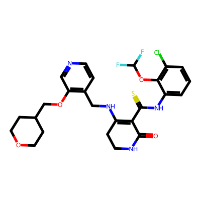 O=C1NCCC(NCc2ccncc2OCC2CCOCC2)=C1C(=S)Nc1cccc(Cl)c1OC(F)F